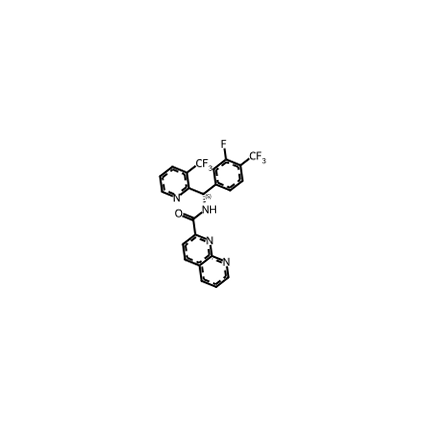 O=C(N[C@@H](c1ccc(C(F)(F)F)c(F)c1)c1ncccc1C(F)(F)F)c1ccc2cccnc2n1